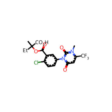 CCC(C)(OC(=O)c1cc(-n2c(=O)cc(C(F)(F)F)n(C)c2=O)ccc1Cl)C(=O)O